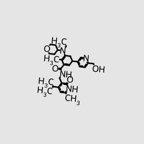 CCN(C1=C(C)C(C(=O)NCc2c(C(C)C)cc(C)[nH]c2=O)=CC(c2ccc(CO)nc2)C1)C1CCOCC1